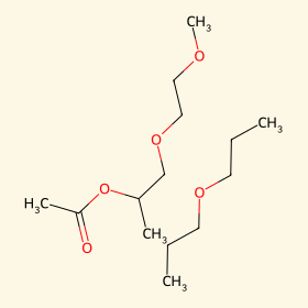 CCCOCCC.COCCOCC(C)OC(C)=O